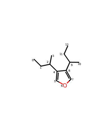 CCC(C)c1cocc1C(C)CC